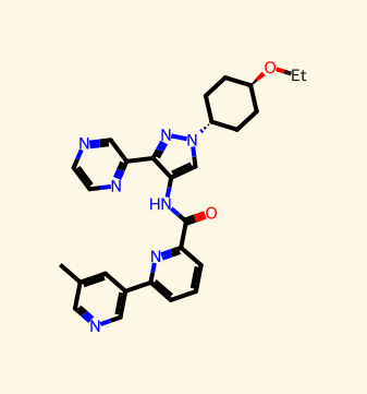 CCO[C@H]1CC[C@H](n2cc(NC(=O)c3cccc(-c4cncc(C)c4)n3)c(-c3cnccn3)n2)CC1